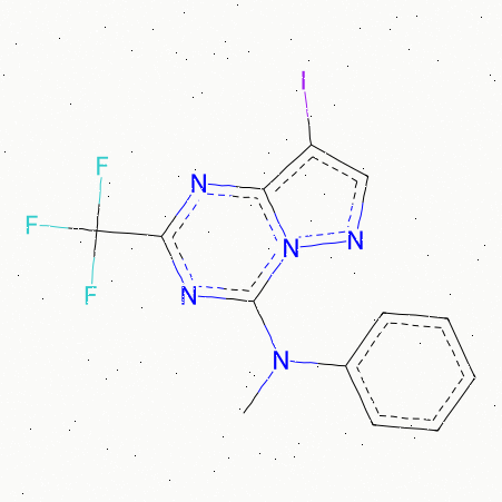 CN(c1ccccc1)c1nc(C(F)(F)F)nc2c(I)cnn12